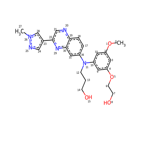 COc1cc(OCCO)cc(N(CCCO)c2ccc3ncc(-c4cnn(C)c4)nc3c2)c1